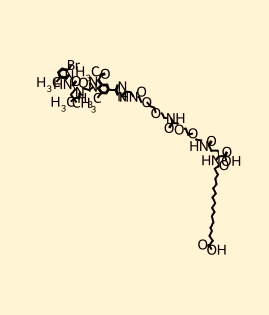 CC(=O)c1nn(CC(=O)N2CC(C)(C)C[C@H]2C(=O)Nc2nc(Br)ccc2C)c2c(C)cc(-c3cnc(CNC(=O)COCCOCCNC(=O)COCCOCCNC(=O)CC[C@H](NC(=O)CCCCCCCCCCCCCCCCC(=O)O)C(=O)O)nc3)cc12